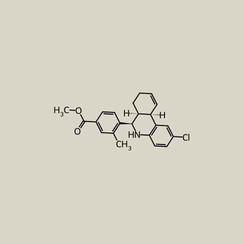 COC(=O)c1ccc([C@@H]2Nc3ccc(Cl)cc3[C@@H]3C=CCC[C@@H]32)c(C)c1